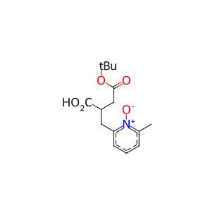 Cc1cccc(CC(CC(=O)OC(C)(C)C)C(=O)O)[n+]1[O-]